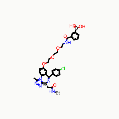 CCNC(=O)C[C@@H]1N=C(c2ccc(Cl)cc2)c2cc(OCCOCCOCCNC(=O)c3cccc(B(O)O)c3)ccc2-n2c(C)nnc21